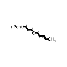 CC=CCCOCCCCCCCC